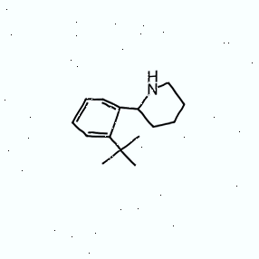 CC(C)(C)c1ccccc1C1CCCCN1